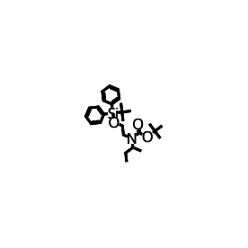 CCC(C)N(CCO[Si](c1ccccc1)(c1ccccc1)C(C)(C)C)C(=O)OC(C)(C)C